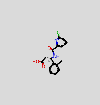 Cc1ccccc1[C@H](CC(=O)O)NC(=O)c1cccc(Cl)n1